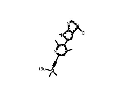 Cc1cc(C#C[Si](C)(C)C(C)(C)C)nc(C)c1-c1cc2c(Cl)ncnc2n1C